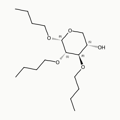 CCCCO[C@@H]1OC[C@H](O)[C@@H](OCCCC)[C@@H]1OCCCC